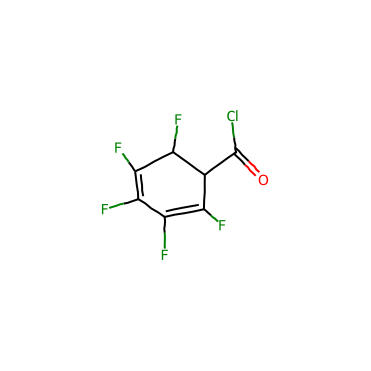 O=C(Cl)C1C(F)=C(F)C(F)=C(F)C1F